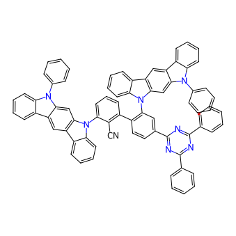 N#Cc1c(-c2ccc(-c3nc(-c4ccccc4)nc(-c4ccccc4)n3)cc2-n2c3ccccc3c3cc4c5ccccc5n(-c5ccccc5)c4cc32)cccc1-n1c2ccccc2c2cc3c4ccccc4n(-c4ccccc4)c3cc21